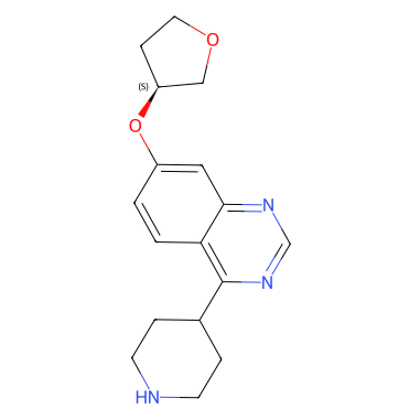 c1nc(C2CCNCC2)c2ccc(O[C@H]3CCOC3)cc2n1